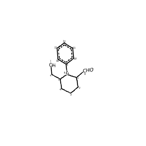 O=CC1CCCC(CO)N1c1ccccc1